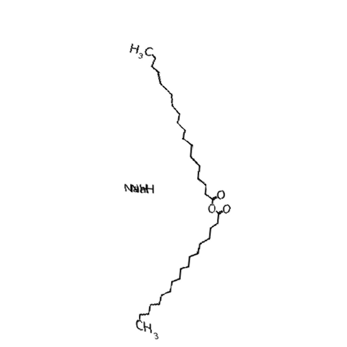 CCCCCCCCCCCCCCCCCC(=O)OC(=O)CCCCCCCCCCCCCCCCC.[NaH].[NaH]